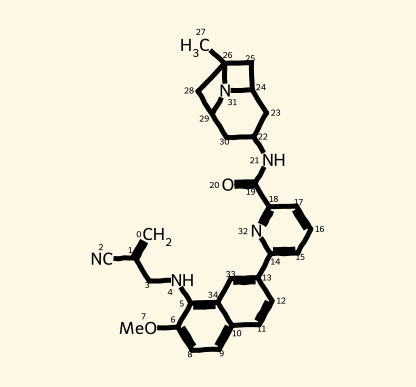 C=C(C#N)CNc1c(OC)ccc2ccc(-c3cccc(C(=O)NC4CC5CC6(C)CC(C4)N56)n3)cc12